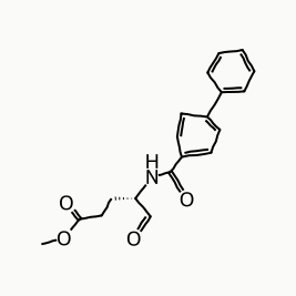 COC(=O)CC[C@@H](C=O)NC(=O)c1ccc(-c2ccccc2)cc1